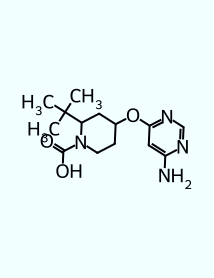 CC(C)(C)C1CC(Oc2cc(N)ncn2)CCN1C(=O)O